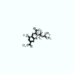 Cc1cc(C(N)=O)cc(C)c1CC(NC(=O)OC(C)C)C(=O)O